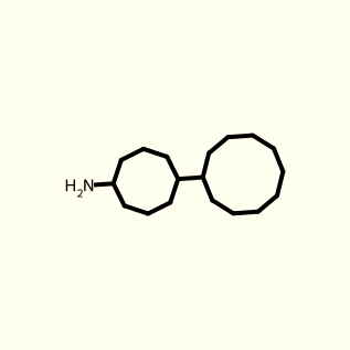 NC1CCCC(C2CCCCCCCCC2)CCC1